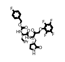 CC(C)C[C@H](NC(=O)OCc1ccc(F)cc1)C(=O)N[C@@H](C[C@@H]1CCNC1=O)C(=O)COc1c(F)c(F)cc(F)c1F